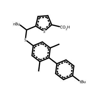 CCCCC(Sc1cc(C)c(-c2ccc(C(C)(C)C)cc2)c(C)c1)c1ccc(C(=O)O)s1